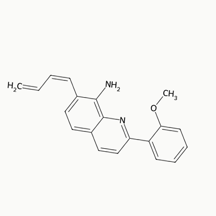 C=C/C=C\c1ccc2ccc(-c3ccccc3OC)nc2c1N